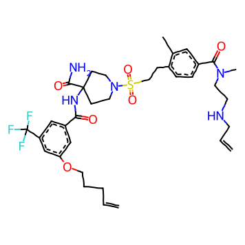 C=CCCCOc1cc(C(=O)NC2(C(N)=O)CCN(S(=O)(=O)CCc3ccc(C(=O)N(C)CCNCC=C)cc3C)CC2)cc(C(F)(F)F)c1